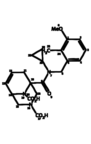 COc1cccc(CN(C(=O)C23CC=CC(CN(C(=O)O)C2)N3C(=O)O)C2CC2)c1C